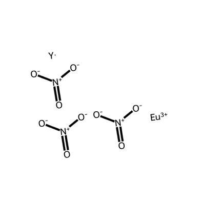 O=[N+]([O-])[O-].O=[N+]([O-])[O-].O=[N+]([O-])[O-].[Eu+3].[Y]